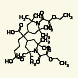 CCOC(=O)C(=O)N1C(C)(C)CC(C(CCCC(=O)O)(C(=O)O)C2CC(C)(C)N(C(=O)C(=O)OCC)C(C)(C)C2)CC1(C)C